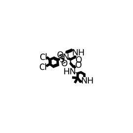 CC1(C)CNCC[C@H]1NC(=O)C[C@@H]1C(=O)NC=CN1S(=O)(=O)c1ccc(Cl)c(Cl)c1